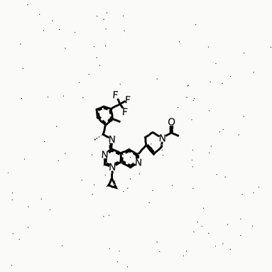 CC(=O)N1CC=C(c2cc3/c(=N/[C@H](C)c4cccc(C(F)(F)F)c4C)ncn(C4CC4)c3cn2)CC1